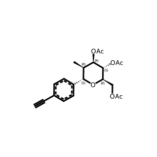 C#Cc1ccc([C@H]2O[C@H](COC(C)=O)[C@@H](OC(C)=O)[C@H](OC(C)=O)[C@@H]2C)cc1